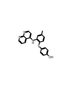 Cc1ccc(Sc2ccc(O)cc2)c(Nc2ccnc3ncccc23)c1